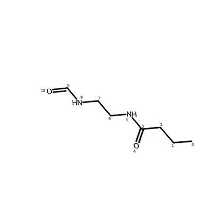 CCCC(=O)NCCNC=O